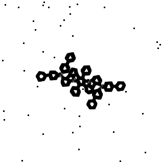 c1ccc(-c2ccc(N(c3ccc(C4CCCCC4)cc3)c3cccc4c3c3cccc5c6c(-c7ccccc7)c7c(c(-c8ccccc8)c6n4c35)c3cccc4c5c(N(c6ccc(C8CCCCC8)cc6)c6ccc(C8CCCCC8)cc6)cccc5n7c43)cc2)cc1